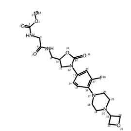 CC(C)(C)OC(=O)NCC(=O)NCC1CN(c2ccc(N3CCN(C4COC4)CC3)c(F)c2)C(=O)O1